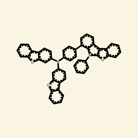 c1ccc(-n2c3oc4ccccc4c3c3cccc(-c4ccc(N(c5ccc6c(c5)oc5ccccc56)c5ccc6c(c5)oc5ccccc56)cc4)c32)cc1